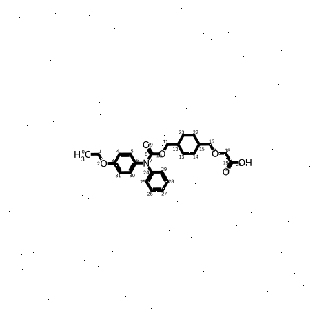 CCOc1ccc(N(C(=O)OCC2CCC(COCC(=O)O)CC2)c2ccccc2)cc1